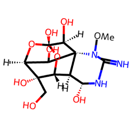 CON1C(=N)N[C@H](O)[C@H]2[C@H]3O[C@]4(O)O[C@@H](C(O)[C@@]21[C@@H]4O)[C@]3(O)CO